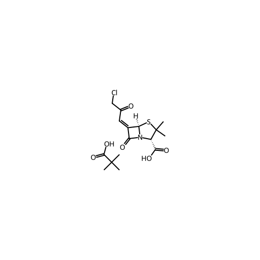 CC(C)(C)C(=O)O.CC1(C)S[C@@H]2C(=CC(=O)CCl)C(=O)N2[C@H]1C(=O)O